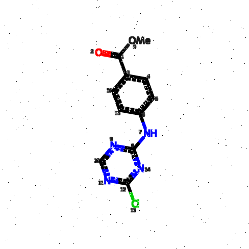 COC(=O)c1ccc(Nc2ncnc(Cl)n2)cc1